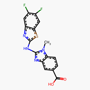 Cn1c(Nc2nc3cc(F)c(F)cc3s2)nc2cc(C(=O)O)ccc21